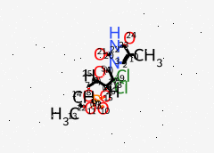 Cc1cn([C@@H]2O[C@@H]3CO[P@](=O)(OC(C)C)O[C@H]3C2(Cl)Cl)c(=O)[nH]c1=O